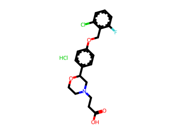 Cl.O=C(O)CCN1CCOC(c2ccc(OCc3c(F)cccc3Cl)cc2)C1